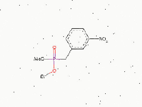 CCOP(=O)(Cc1cccc([N+](=O)[O-])c1)OC